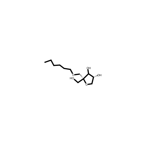 CCCCCCOC[C@@]1(CO)OC[C@@H](O)C1O